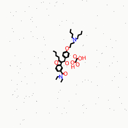 CCCCc1oc2ccc(C(=O)N(CC)CC)cc2c1C(=O)c1ccc(OCCCN(CCCC)CCCC)cc1.O=C(O)C(=O)O